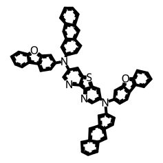 c1ccc2cc3cc(N(c4ccc5c(c4)oc4ccccc45)c4cnc5c(c4)sc4cc(N(c6ccc7cc8ccccc8cc7c6)c6ccc7c(c6)oc6ccccc67)cnc45)ccc3cc2c1